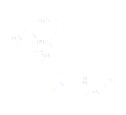 Nc1ccc(-c2[nH]nc(C(F)(F)F)c2-c2cnc(C(=O)NCc3ccc(C(=O)N4CC5(CC(NC(=O)[C@@H]6C[C@@H](O)CN6)C5)C4)c(Cl)c3)[nH]2)nc1